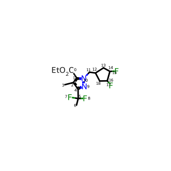 CCOC(=O)c1c(C)c(C(C)(F)F)nn1CC1CC(F)C(F)C1